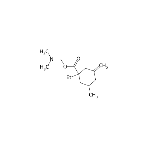 C=C1CC(C)CC(CC)(C(=O)OCN(C)C)C1